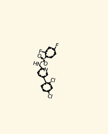 O=S(=O)(Nc1ccc(-c2ccc(Cl)cc2Cl)cn1)c1ccc(F)cc1F